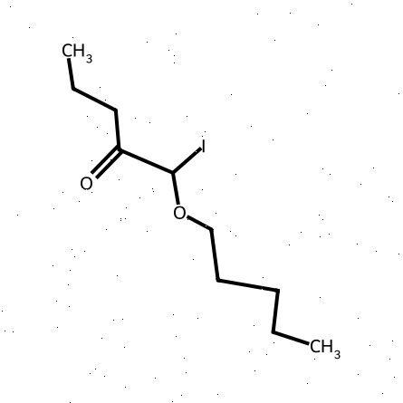 CCCCCOC(I)C(=O)CCC